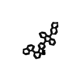 C1=Cc2c(cccc2-c2cccc3sc4cc(-c5c6ccccc6c(-c6ccc7ccccc7c6)c6ccccc56)ccc4c23)CC1